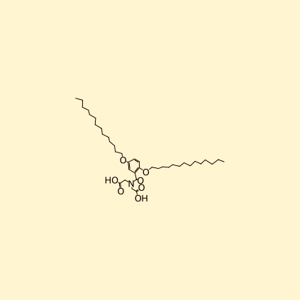 CCCCCCCCCCCCCCOc1ccc(OCCCCCCCCCCCCCC)c(C(=O)N(CC(=O)O)CC(=O)O)c1